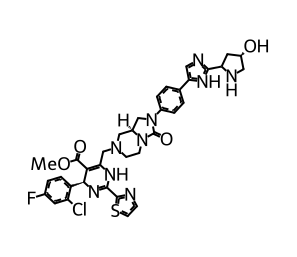 COC(=O)C1=C(CN2CCN3C(=O)N(c4ccc(-c5cnc(C6C[C@@H](O)CN6)[nH]5)cc4)C[C@@H]3C2)NC(c2nccs2)=N[C@H]1c1ccc(F)cc1Cl